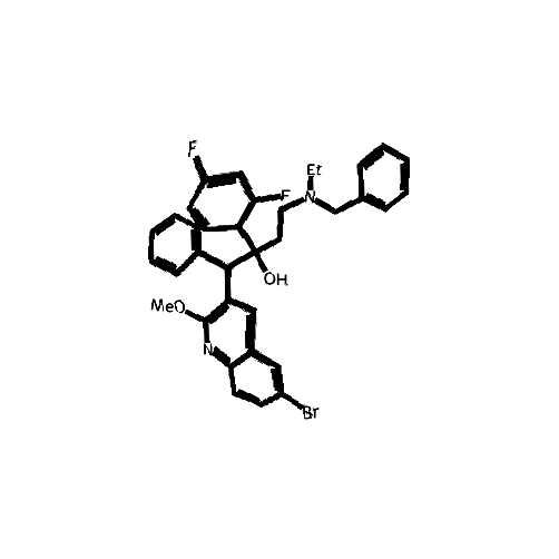 CCN(CCC(O)(C(c1ccccc1)c1cc2cc(Br)ccc2nc1OC)C1C=CC(F)=CC1F)Cc1ccccc1